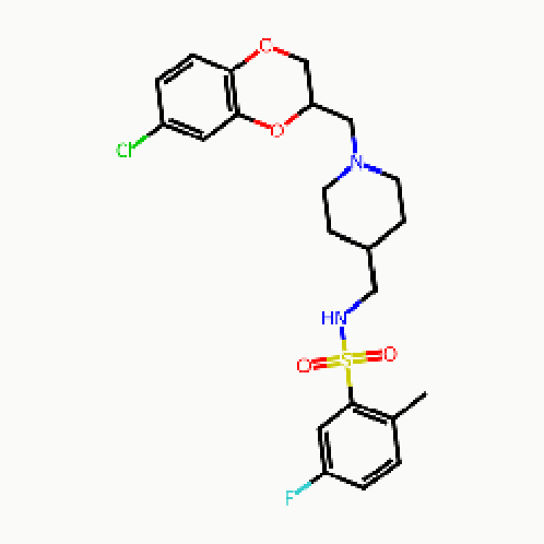 Cc1ccc(F)cc1S(=O)(=O)NCC1CCN(CC2COc3ccc(Cl)cc3O2)CC1